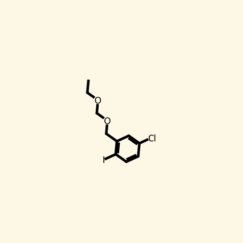 CCOCOCc1cc(Cl)ccc1I